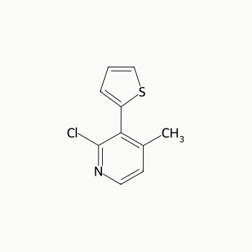 Cc1ccnc(Cl)c1-c1cccs1